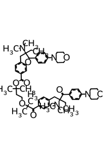 CCC(Cc1ccc(C(=O)OC(C)(C)CCOC(C)(C)C(=O)c2ccc(CC(CC)(C(=O)c3ccc(N4CCOCC4)cc3)N(C)C)cc2)cc1)(C(=O)c1ccc(N2CCOCC2)cc1)N(C)C